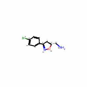 NC[C@H]1CC(c2ccc(Br)cc2)=NO1